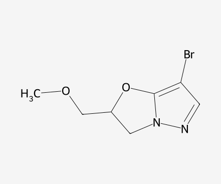 COCC1Cn2ncc(Br)c2O1